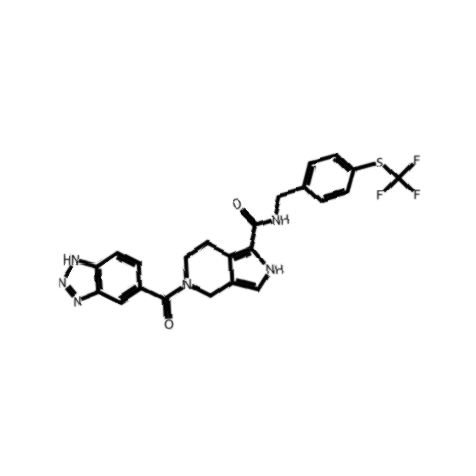 O=C(NCc1ccc(SC(F)(F)F)cc1)c1[nH]cc2c1CCN(C(=O)c1ccc3[nH]nnc3c1)C2